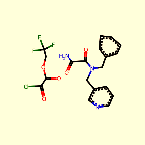 NC(=O)C(=O)N(Cc1ccccc1)Cc1cccnc1.O=C(Cl)C(=O)OCC(F)(F)F